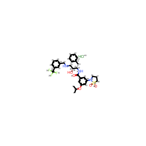 CC(C)Oc1cc(C(=O)N[C@@H](Cc2ccccc2)[C@H](O)CNCc2cccc(C(F)(F)F)c2)cc(N2CCCS2(=O)=O)c1.Cl